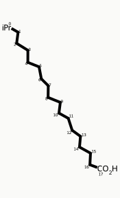 CC(C)CCCCCCCCCCCCCCCCC(=O)O